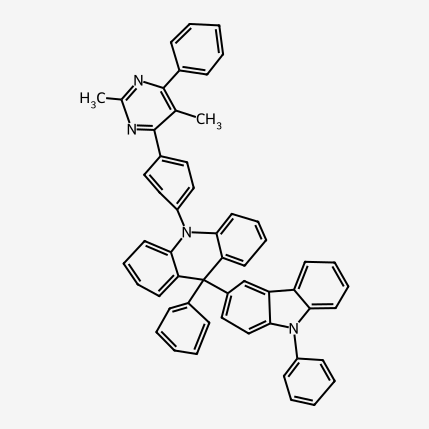 Cc1nc(-c2ccccc2)c(C)c(-c2ccc(N3c4ccccc4C(c4ccccc4)(c4ccc5c(c4)c4ccccc4n5-c4ccccc4)c4ccccc43)cc2)n1